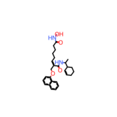 CC(NC(=O)C(=CCCCCC(=O)NO)COc1cccc2ccccc12)C1C=CCCC1